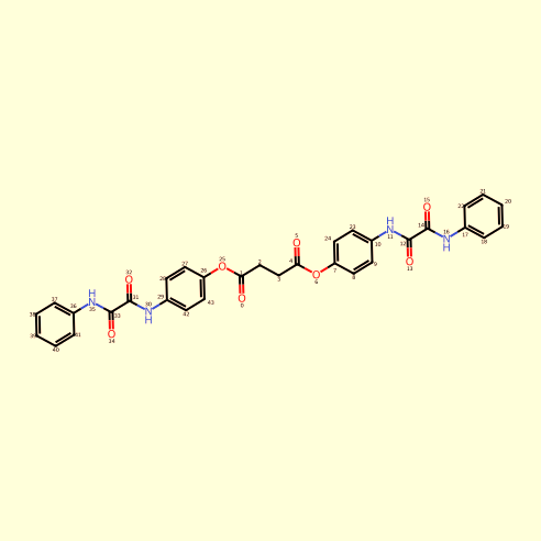 O=C(CCC(=O)Oc1ccc(NC(=O)C(=O)Nc2ccccc2)cc1)Oc1ccc(NC(=O)C(=O)Nc2ccccc2)cc1